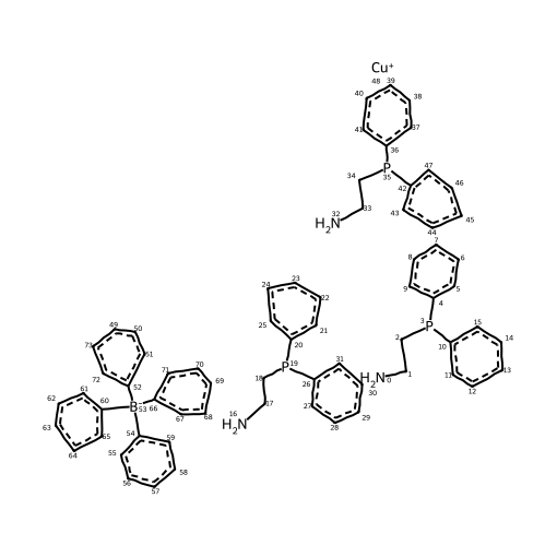 NCCP(c1ccccc1)c1ccccc1.NCCP(c1ccccc1)c1ccccc1.NCCP(c1ccccc1)c1ccccc1.[Cu+].c1ccc([B-](c2ccccc2)(c2ccccc2)c2ccccc2)cc1